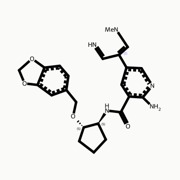 CN/C=C(\C=N)c1cnc(N)c(C(=O)N[C@H]2CCC[C@@H]2OCc2ccc3c(c2)OCO3)c1